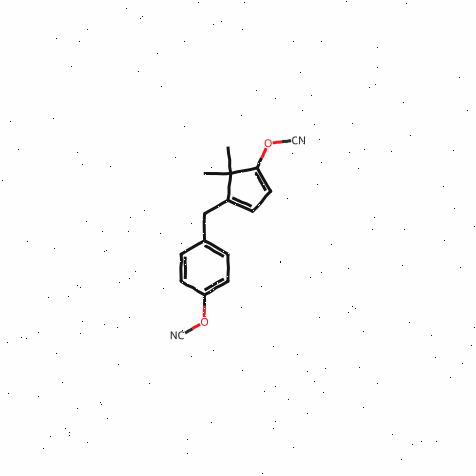 CC1(C)C(Cc2ccc(OC#N)cc2)=CC=C1OC#N